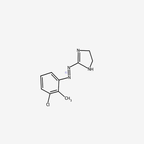 Cc1c(Cl)cccc1/N=N/C1=NCCN1